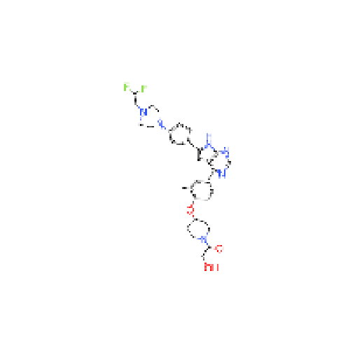 Cc1cc(-c2ncnc3[nH]c(-c4ccc(N5CCN(CC(F)F)CC5)cc4)cc23)ccc1OC1CCN(C(=O)CO)CC1